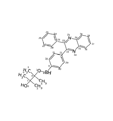 CC(C)(O)C(C)(C)OBc1ccc(-c2nc3ccccc3nc2-c2ccccc2)cc1